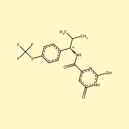 CC(C)[C@@H](NC(=O)c1cc(=O)[nH]c(O)n1)c1ccc(SC(F)(F)F)cc1